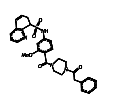 COc1cc(NS(=O)(=O)C2CC=Cc3cccnc32)ccc1C(=O)N1CCN(C(=O)Cc2ccccc2)CC1